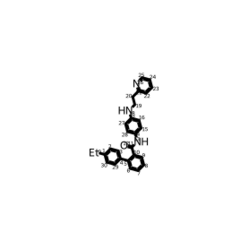 CCc1ccc(-c2ccccc2C(=O)Nc2ccc(NCCc3ccccn3)cc2)cc1